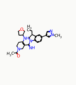 CCC1CN(C(=N)C2=C(NC3CCOC3)CCN(C(C)=O)C2)c2ccc(-c3cnn(C)c3)cc21